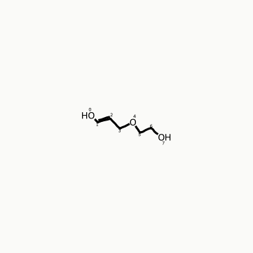 OC=CCOCCO